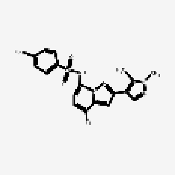 Cc1c(-c2cc3c(Cl)ccc(NS(=O)(=O)c4ccc(C(C)(C)C)cc4)n3n2)cnn1C